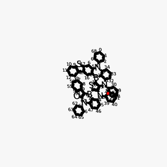 c1ccc(N2c3cc4sc5ccccc5c4cc3B3c4sc5c(c4N(c4ccccc4)c4cccc2c43)N(c2ccccc2)c2cccc3c2B5c2c(oc4ccccc24)N3c2ccccc2)cc1